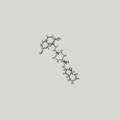 O=c1ccc2ccc(F)cc2n1CCN1CCC(NCc2cc3ccccc3o2)CC1